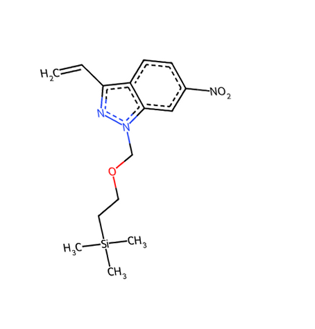 C=Cc1nn(COCC[Si](C)(C)C)c2cc([N+](=O)[O-])ccc12